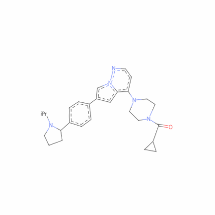 CC(C)N1CCCC1c1ccc(-c2cc3c(N4CCN(C(=O)C5CC5)CC4)ccnn3c2)cc1